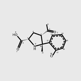 CC(=O)[C@H]1C[C@@H](C(=O)O)N[C@@]1(C)c1ccccc1Cl